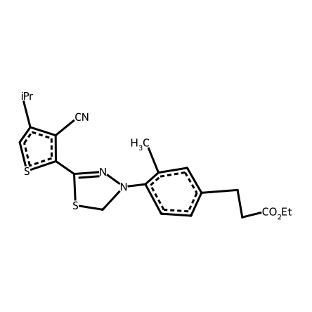 CCOC(=O)CCc1ccc(N2CSC(c3scc(C(C)C)c3C#N)=N2)c(C)c1